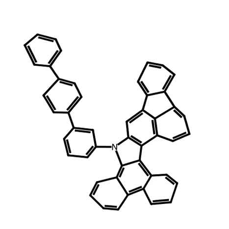 c1ccc(-c2ccc(-c3cccc(-n4c5cc6c7c(cccc7c5c5c7ccccc7c7ccccc7c54)-c4ccccc4-6)c3)cc2)cc1